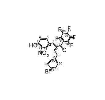 O=C(C(=Cc1ccc(O)c([N+](=O)[O-])c1)SCc1ccc(Br)cc1)c1c(F)c(F)c(F)c(F)c1F